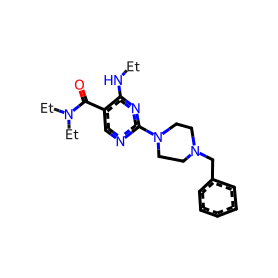 CCNc1nc(N2CCN(Cc3ccccc3)CC2)ncc1C(=O)N(CC)CC